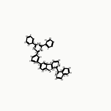 c1ccc(-c2nc(-c3ccccc3)nc(-c3cccc(-c4ccc5sc6c(-c7nccc8ccccc78)nccc6c5c4)c3)n2)cc1